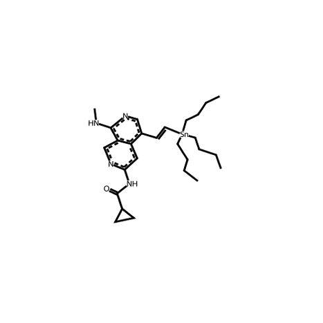 CCC[CH2][Sn](/[CH]=C/c1cnc(NC)c2cnc(NC(=O)C3CC3)cc12)([CH2]CCC)[CH2]CCC